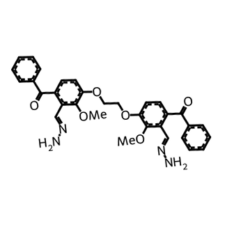 COc1c(OCCOc2ccc(C(=O)c3ccccc3)c(C=NN)c2OC)ccc(C(=O)c2ccccc2)c1C=NN